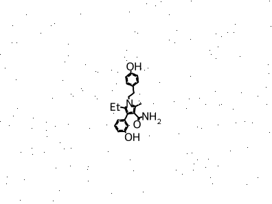 CCc1c(-c2cccc(O)c2)c(C(N)=O)c(C)n1CCc1ccc(O)cc1